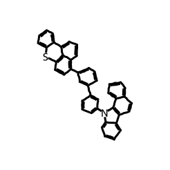 c1cc(-c2cccc(-n3c4ccccc4c4ccc5ccccc5c43)c2)cc(-c2ccc3c4c(cccc24)-c2ccccc2S3)c1